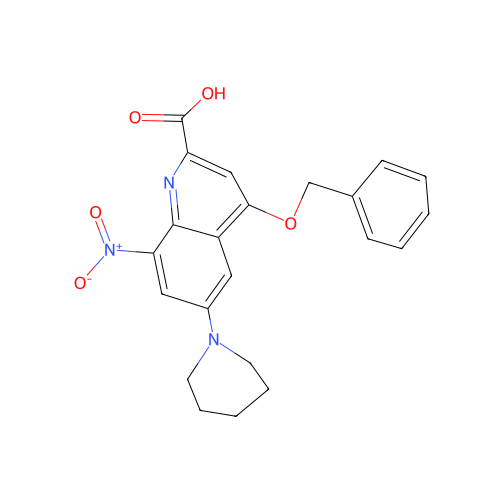 O=C(O)c1cc(OCc2ccccc2)c2cc(N3CCCCC3)cc([N+](=O)[O-])c2n1